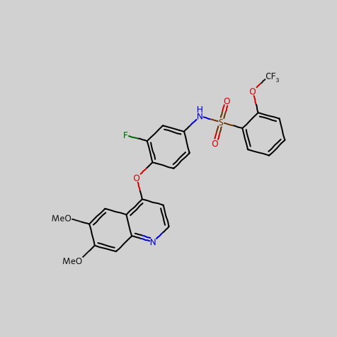 COc1cc2nccc(Oc3ccc(NS(=O)(=O)c4ccccc4OC(F)(F)F)cc3F)c2cc1OC